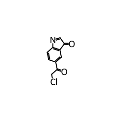 O=C(CCl)c1ccc2c(c1)C(=O)C=N2